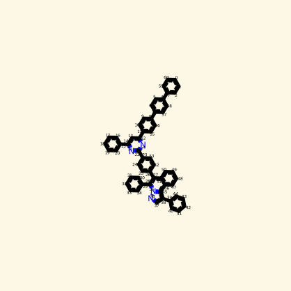 c1ccc(-c2ccc(-c3ccc(-c4cc(-c5ccccc5)nc(-c5ccc(-c6c(-c7ccccc7)n7ncc(-c8ccccc8)c7c7ccccc67)cc5)n4)cc3)cc2)cc1